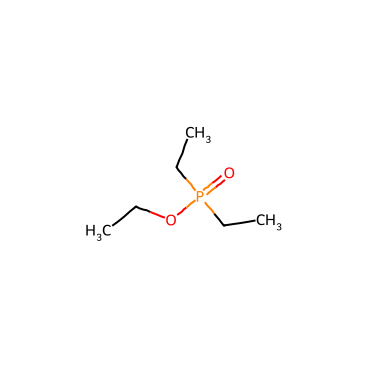 CCOP(=O)(CC)CC